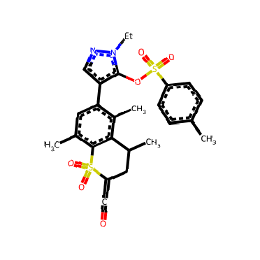 CCn1ncc(-c2cc(C)c3c(c2C)C(C)CC(=C=O)S3(=O)=O)c1OS(=O)(=O)c1ccc(C)cc1